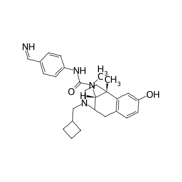 CN(C(=O)Nc1ccc(C=N)cc1)[C@H]1C2Cc3ccc(O)cc3[C@@]1(C)CCN2CC1CCC1